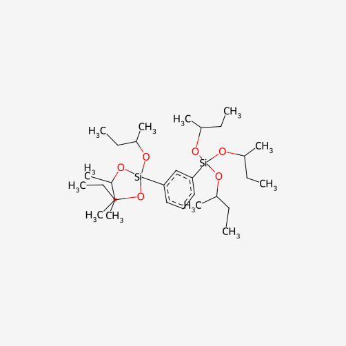 CCC(C)O[Si](OC(C)CC)(OC(C)CC)c1cccc([Si](OC(C)CC)(OC(C)CC)OC(C)CC)c1